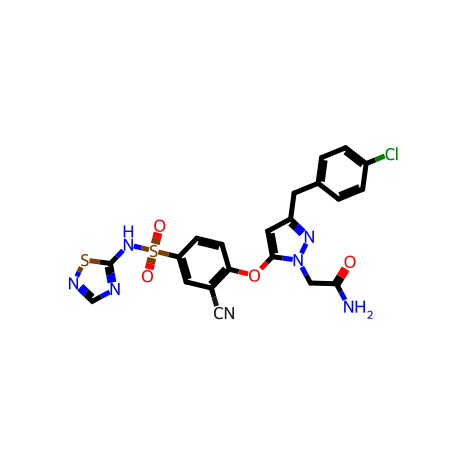 N#Cc1cc(S(=O)(=O)Nc2ncns2)ccc1Oc1cc(Cc2ccc(Cl)cc2)nn1CC(N)=O